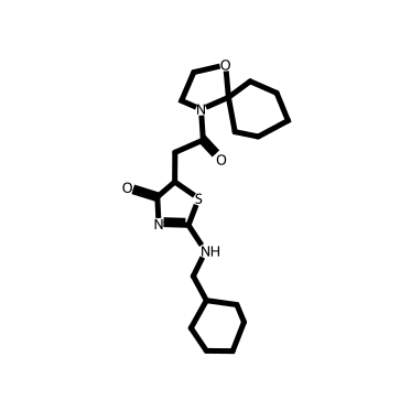 O=C1N=C(NCC2CCCCC2)SC1CC(=O)N1CCOC12CCCCC2